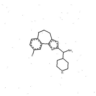 NC(c1nc2c(s1)CCCc1ccc(F)cc1-2)C1CCNCC1